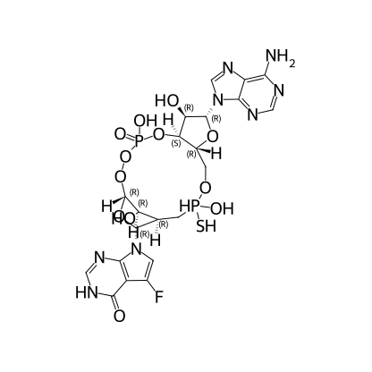 Nc1ncnc2c1ncn2[C@@H]1O[C@@H]2CO[PH](O)(S)C[C@@H]3[C@@H](O)[C@@H](OOP(=O)(O)O[C@H]2[C@H]1O)O[C@H]3n1cc(F)c2c(=O)[nH]cnc21